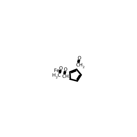 C1=CCC=C1.C=O.C=O.C=O.[Fe]